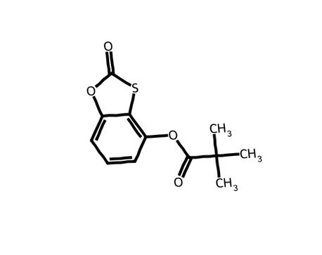 CC(C)(C)C(=O)Oc1cccc2oc(=O)sc12